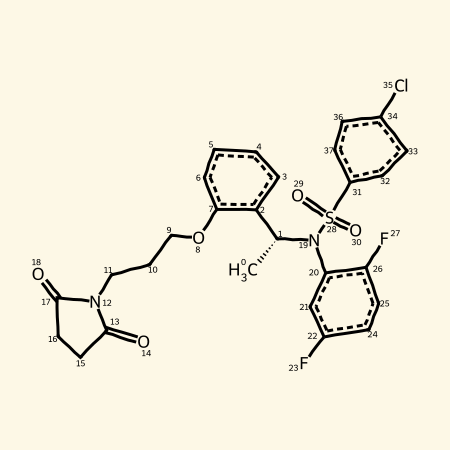 C[C@H](c1ccccc1OCCCN1C(=O)CCC1=O)N(c1cc(F)ccc1F)S(=O)(=O)c1ccc(Cl)cc1